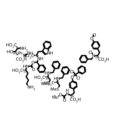 CC(C)(C)OC(=O)N[C@H](Cc1ccc(OC(Cl)(Cl)c2ccccc2)cc1)C(=O)O.CC(C)[C@H](N)C(=O)O.CSC[C@H](NCc1ccccc1)C(=O)O.CSC[C@H](NCc1ccccc1)C(=O)O.C[C@@H](O)[C@H](N)C(=O)O.NCCCC[C@H](NC(=O)OC(N[C@H](Cc1c[nH]c2ccccc12)C(=O)O)c1ccccc1)C(=O)O.O=C(O)[C@H](Cc1ccc(OCl)cc1)N(Cl)Cc1ccccc1